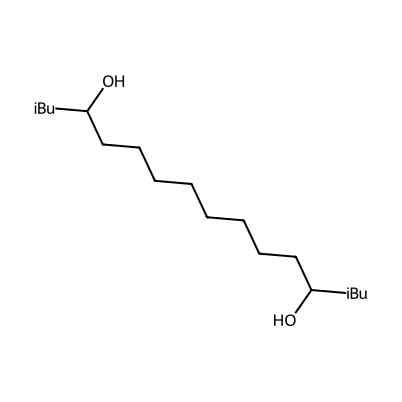 CCC(C)C(O)CCCCCCCCC(O)C(C)CC